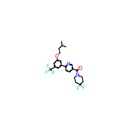 CC(C)CCOc1cc(-c2ccc(C(=O)N3CCC(F)(F)CC3)cn2)cc(C(F)(F)F)c1